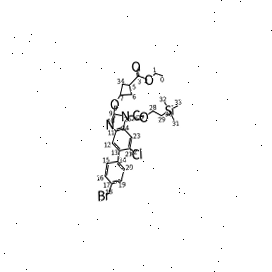 CCOC(=O)C1CC(Oc2nc3cc(-c4ccc(Br)cc4)c(Cl)cc3n2COCC[Si](C)(C)C)C1